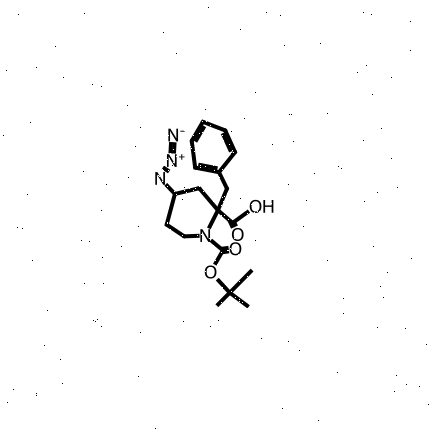 CC(C)(C)OC(=O)N1CCC(N=[N+]=[N-])CC1(Cc1ccccc1)C(=O)O